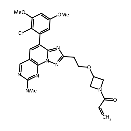 C=CC(=O)N1CC(OCCc2nc3c(-c4cc(OC)cc(OC)c4Cl)cc4cnc(NC)nc4n3n2)C1